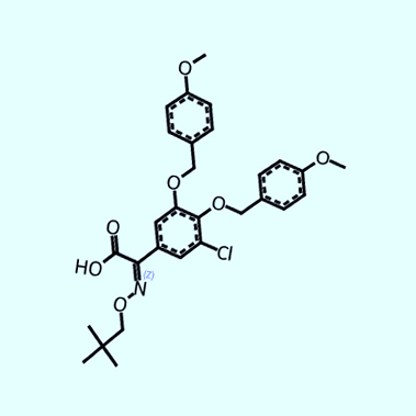 COc1ccc(COc2cc(/C(=N/OCC(C)(C)C)C(=O)O)cc(Cl)c2OCc2ccc(OC)cc2)cc1